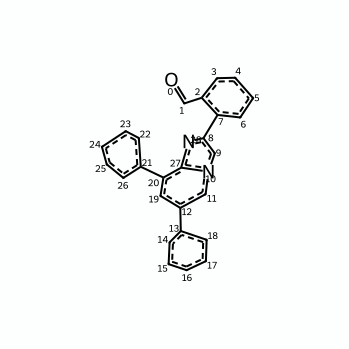 O=Cc1ccccc1-c1cn2cc(-c3ccccc3)cc(-c3ccccc3)c2n1